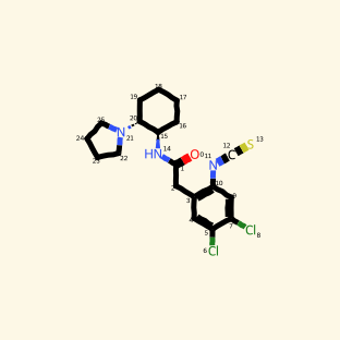 O=C(Cc1cc(Cl)c(Cl)cc1N=C=S)N[C@@H]1CCCC[C@H]1N1CCCC1